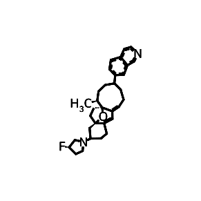 C[C@H]1CCC(c2ccc3ccncc3c2)CC/C=C2/C=C3CCC(N4CC[C@H](F)C4)C[C@]34CC[C@@]21O4